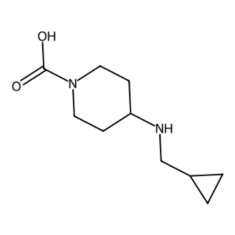 O=C(O)N1CCC(NCC2CC2)CC1